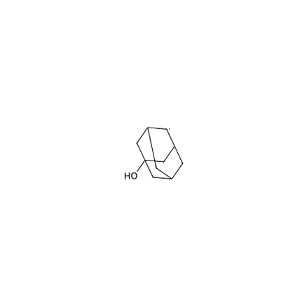 OC12CC3[CH]C(CC(C3)C1)C2